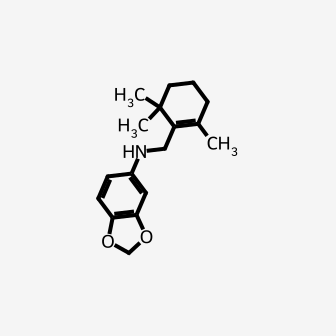 CC1=C(CNc2ccc3c(c2)OCO3)C(C)(C)CCC1